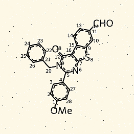 COc1ccc(-c2nc3sc4cc(C=O)ccc4c3c(=O)n2Cc2ccccc2)cc1